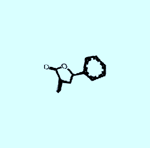 C=C1CC(c2ccccc2)OC1=O